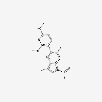 COc1nc(C(C)C)ccc1-c1nc2c(C)cn(C(C)=O)c2cc1C